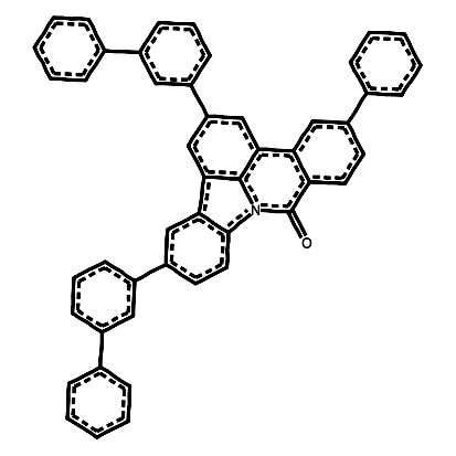 O=c1c2ccc(-c3ccccc3)cc2c2cc(-c3cccc(-c4ccccc4)c3)cc3c4cc(-c5cccc(-c6ccccc6)c5)ccc4n1c23